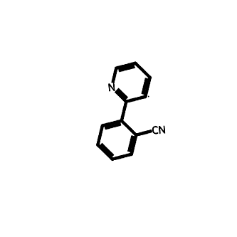 N#Cc1ccccc1-c1[c]cccn1